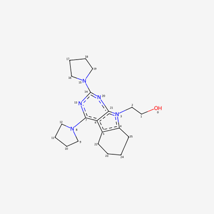 OCCn1c2c(c3c(N4CCCC4)nc(N4CCCC4)nc31)CCCC2